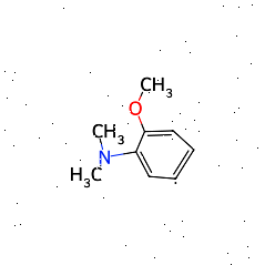 COc1cc[c]cc1N(C)C